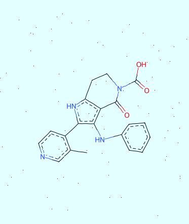 Cc1cnccc1-c1[nH]c2c(c1Nc1ccccc1)C(=O)N(C(=O)O)CC2